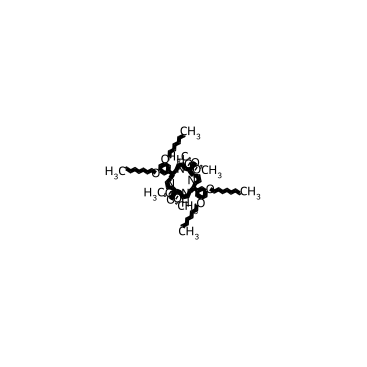 CCCCCCCCOc1cc(OCCCCCCCC)cc(-c2c3nc(c(P(=O)(OCC)OCC)c4ccc([nH]4)c(-c4cc(OCCCCCCCC)cc(OCCCCCCCC)c4)c4nc(c(P(=O)(OCC)OCC)c5ccc2[nH]5)C=C4)C=C3)c1